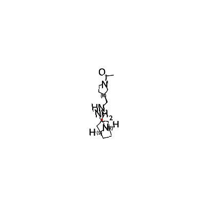 CC(=O)N1CC[C@H](CNCCN2[C@@H]3CC[C@H]2CC(N)C3)C1